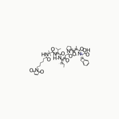 CC[C@H](C)[C@@H]([C@@H](CC(=O)N1CCC[C@H]1[C@H](OC)[C@@H](C)C(=O)/N=C(\C(=O)O)[C@H]1Cc2ccccc21)OC)N(C)C(=O)[C@@H](NC(=O)C(C)(C)NC(=O)CCCCCN1C(=O)C=CC1=O)C(C)C